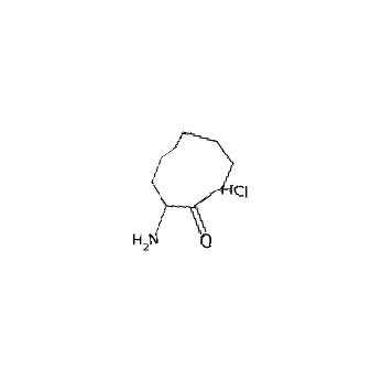 Cl.NC1CCCCCCC1=O